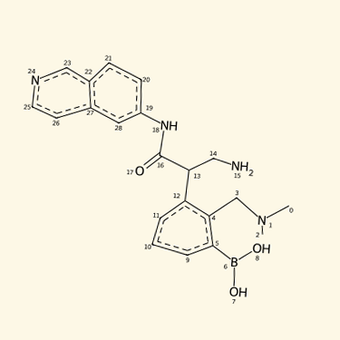 CN(C)Cc1c(B(O)O)cccc1C(CN)C(=O)Nc1ccc2cnccc2c1